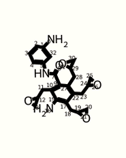 Nc1cccc(NC(=O)c2c(CC3CO3)c(N)c(CC3CO3)c(CC3CO3)c2CC2CO2)c1